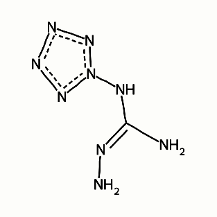 NN=C(N)Nn1nnnn1